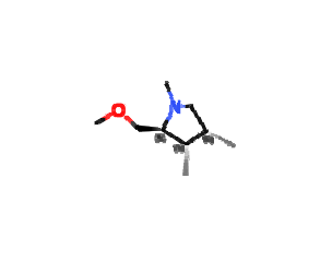 COC[C@@H]1[C@@H](C)[C@@H](C)CN1C